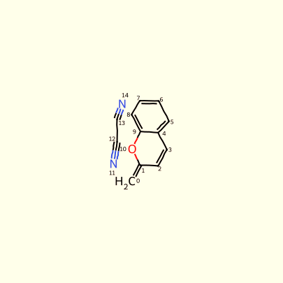 C=C1C=Cc2ccccc2O1.N#CC#N